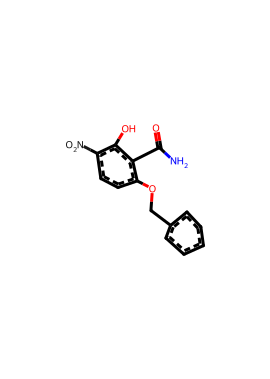 NC(=O)c1c(OCc2ccccc2)ccc([N+](=O)[O-])c1O